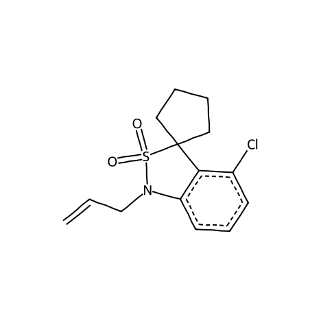 C=CCN1c2cccc(Cl)c2C2(CCCC2)S1(=O)=O